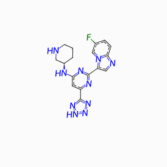 Fc1ccc2ncc(-c3nc(N[C@@H]4CCCNC4)cc(-c4nn[nH]n4)n3)n2c1